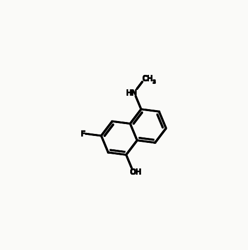 CNc1cccc2c(O)cc(F)cc12